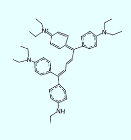 CCNc1ccc(C(=CC=CC(=C2C=CC(=[N+](CC)CC)C=C2)c2ccc(N(CC)CC)cc2)c2ccc(N(CC)CC)cc2)cc1